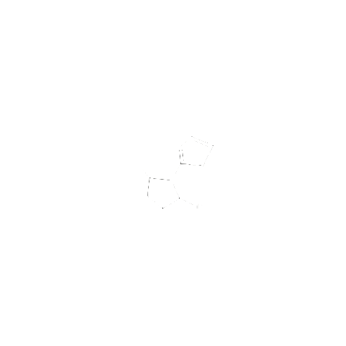 CC(C)C1CCC(C(C)C)P1C1=CC=CC1